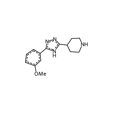 COc1cccc(-c2nnc(C3CCNCC3)[nH]2)c1